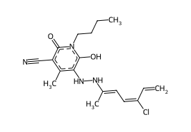 C=C/C(Cl)=C\C=C(/C)NNc1c(C)c(C#N)c(=O)n(CCCC)c1O